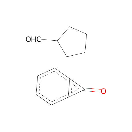 O=CC1CCCC1.O=c1c2ccccc12